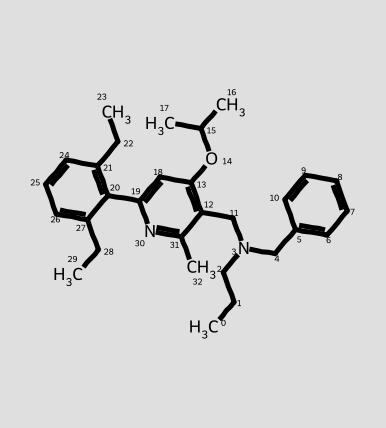 CCCN(Cc1ccccc1)Cc1c(OC(C)C)cc(-c2c(CC)cccc2CC)nc1C